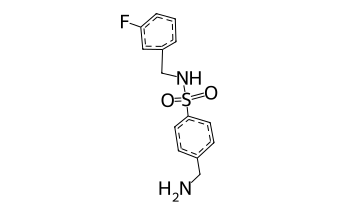 NCc1ccc(S(=O)(=O)NCc2cccc(F)c2)cc1